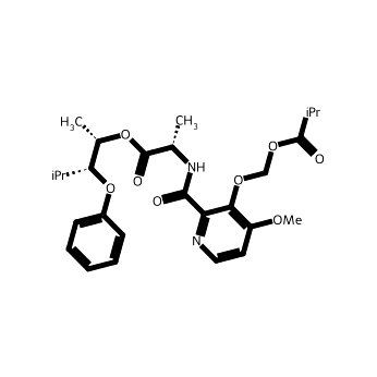 COc1ccnc(C(=O)N[C@@H](C)C(=O)O[C@@H](C)[C@H](Oc2ccccc2)C(C)C)c1OCOC(=O)C(C)C